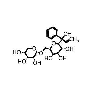 C=CC(O)(c1ccccc1)[C@@H]1O[C@H](CO[C@@H]2OC[C@@H](O)[C@@H](O)[C@@H]2O)[C@@H](O)[C@H](O)[C@H]1O